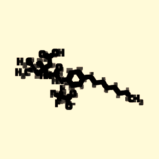 CCCCCCCCc1ccc(NC(=O)NC2(CC(=O)O)C[N+](C)(C)C2)cc1.O=C([O-])C(F)(F)F